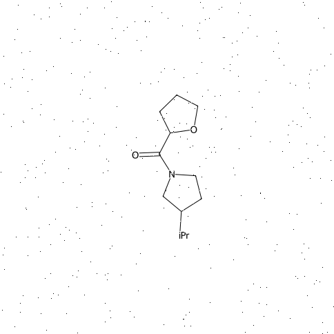 CC(C)C1CCN(C(=O)C2CCCO2)C1